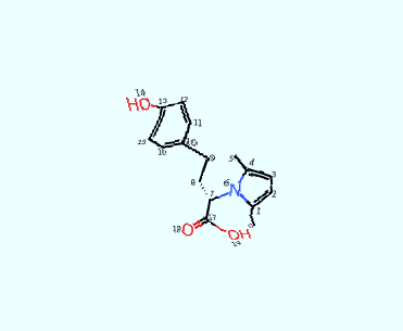 Cc1ccc(C)n1[C@@H](CCc1ccc(O)cc1)C(=O)O